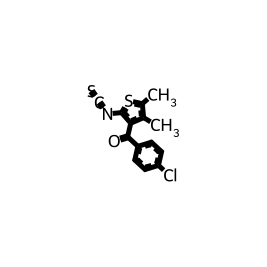 Cc1sc(N=C=S)c(C(=O)c2ccc(Cl)cc2)c1C